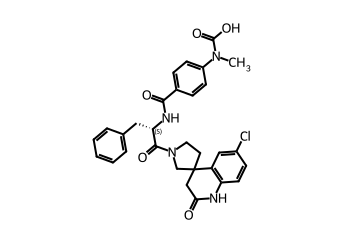 CN(C(=O)O)c1ccc(C(=O)N[C@@H](Cc2ccccc2)C(=O)N2CCC3(CC(=O)Nc4ccc(Cl)cc43)C2)cc1